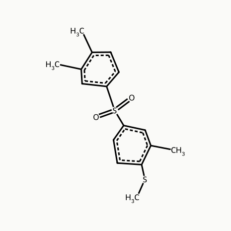 CSc1ccc(S(=O)(=O)c2ccc(C)c(C)c2)cc1C